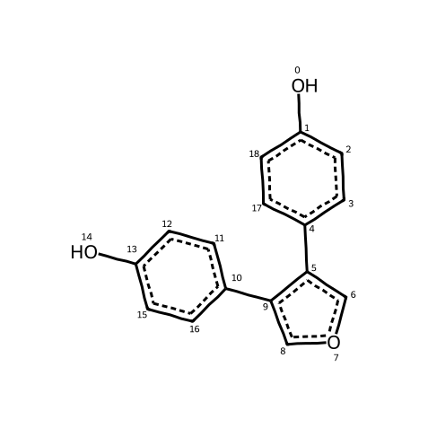 Oc1ccc(-c2cocc2-c2ccc(O)cc2)cc1